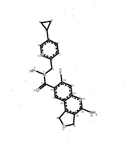 CCCN(Cc1ccc(C2CC2)cn1)C(=O)c1cc2c3c(c(N)nc2cc1F)COC3